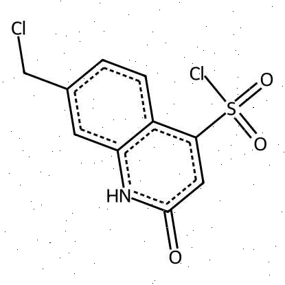 O=c1cc(S(=O)(=O)Cl)c2ccc(CCl)cc2[nH]1